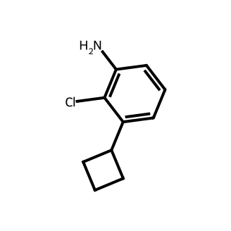 Nc1cccc(C2CCC2)c1Cl